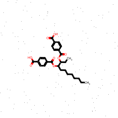 CCCCCCCCC(OC(=O)c1ccc(C(=O)O)cc1)C(CC)OC(=O)c1ccc(C(=O)O)cc1